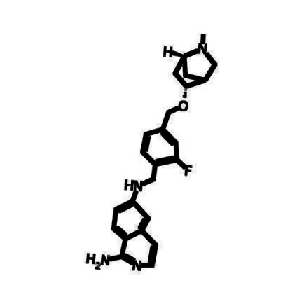 CN1CC2C[C@@H]1C[C@H]2OCc1ccc(CNc2ccc3c(N)nccc3c2)c(F)c1